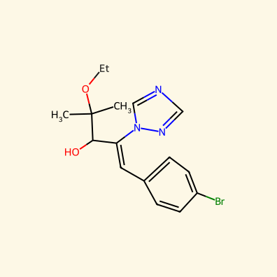 CCOC(C)(C)C(O)C(=Cc1ccc(Br)cc1)n1cncn1